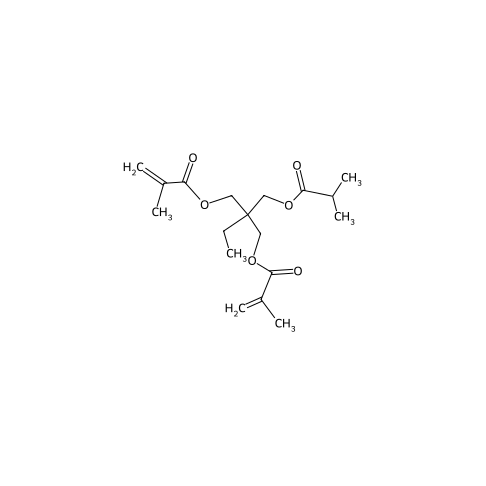 C=C(C)C(=O)OCC(CC)(COC(=O)C(=C)C)COC(=O)C(C)C